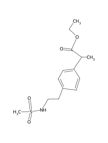 CCOC(=O)C(C)c1ccc(CCNS(C)(=O)=O)cc1